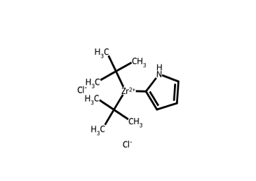 C[C](C)(C)[Zr+2]([c]1ccc[nH]1)[C](C)(C)C.[Cl-].[Cl-]